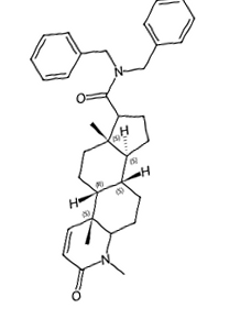 CN1C(=O)C=C[C@@]2(C)C1CC[C@@H]1[C@H]2CC[C@]2(C)C(C(=O)N(Cc3ccccc3)Cc3ccccc3)CC[C@@H]12